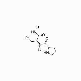 CCNC(=O)[C@H](CC(C)C)N(CC)C(=O)[C@@H]1CCCN1